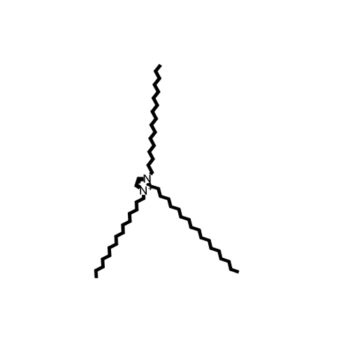 CCCCCCCCCCCCCCCCCc1n(CCCCCCCCCCCCCCCCC)cc[n+]1CCCCCCCCCCCCCCC